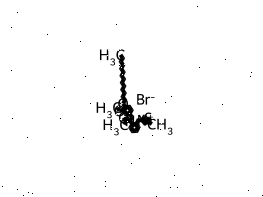 CCCCCCCCCCCCCCOc1ccc(CN(C(C)=O)c2ccccc2C[n+]2csc(C)c2)cc1OC.[Br-]